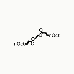 CCCCCCCCC=CC(=O)OCCOC(=O)C=CCCCCCCCC